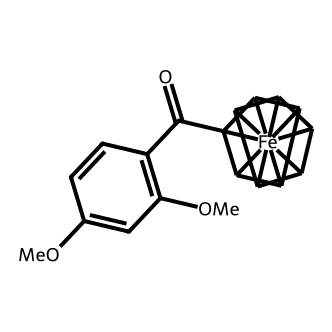 COc1ccc(C(=O)[C]23[CH]4[CH]5[CH]6[CH]2[Fe]56432789[CH]3[CH]2[CH]7[CH]8[CH]39)c(OC)c1